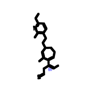 C/C=C(/CC=S)C1=CCCC(CCc2ccc(CC)nc2C)C=C1C